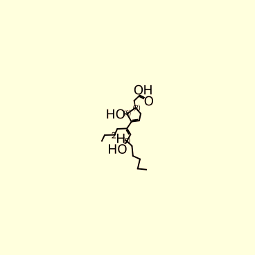 [2H][C@@](O)(C=C(CCCC)C1=CC[C@H](CC(=O)O)[C@@H]1O)CCCCC